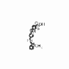 Cn1cc(CNCC2CCN(c3nc4cc(C(=O)NO)ccc4o3)CC2)c2ccccc21